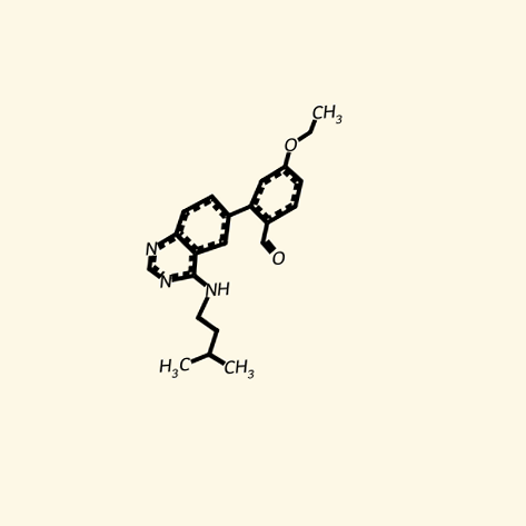 CCOc1ccc(C=O)c(-c2ccc3ncnc(NCCC(C)C)c3c2)c1